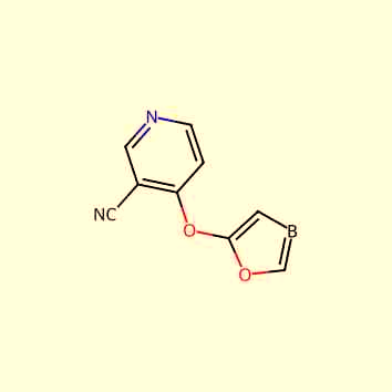 N#Cc1cnccc1Oc1cbco1